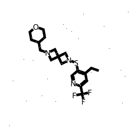 CCc1cc(C(F)(F)F)ncc1SN1CC2(CN(CC3CCOCC3)C2)C1